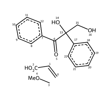 C=CC(=O)O.COC.O=C(c1ccccc1)C(O)(CO)c1ccccc1